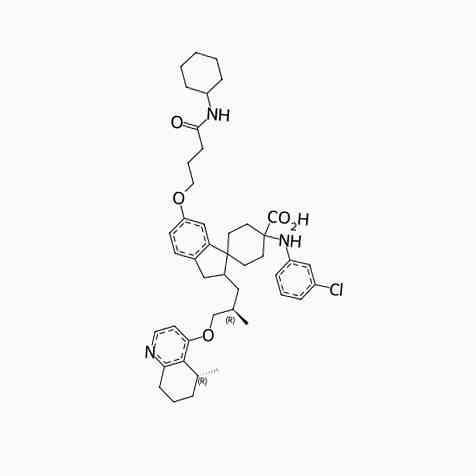 C[C@@H](COc1ccnc2c1[C@H](C)CCC2)CC1Cc2ccc(OCCCC(=O)NC3CCCCC3)cc2C12CCC(Nc1cccc(Cl)c1)(C(=O)O)CC2